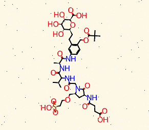 CC(C)C(NC(=O)CN1C(=O)[C@@H](NC(=O)CCC(=O)O)C[C@H]1COCCS(=O)(=O)O)C(=O)N[C@@H](C)C(=O)Nc1ccc(COC(=O)C(C)(C)C)c(CC[C@@H]2O[C@H](C(=O)O)[C@@H](O)[C@H](O)[C@H]2O)c1